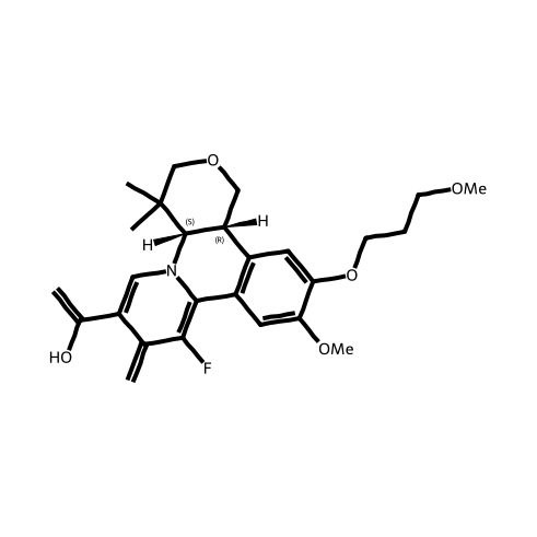 C=C(O)C1=CN2C(=C(F)C1=C)c1cc(OC)c(OCCCOC)cc1[C@H]1COCC(C)(C)[C@H]12